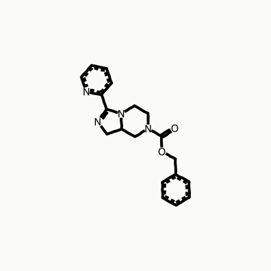 O=C(OCc1ccccc1)N1CCN2C(c3ccccn3)=NCC2C1